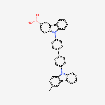 Cc1ccc2c(c1)c1ccccc1n2-c1ccc(-c2ccc(-n3c4ccccc4c4cc(B(O)O)ccc43)cc2)cc1